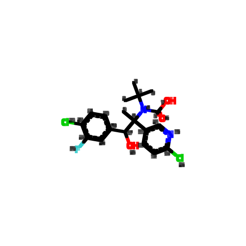 CC(C)(C)N(C(=O)O)C(C)(c1ccc(Cl)nc1)C(O)c1ccc(Cl)c(F)c1